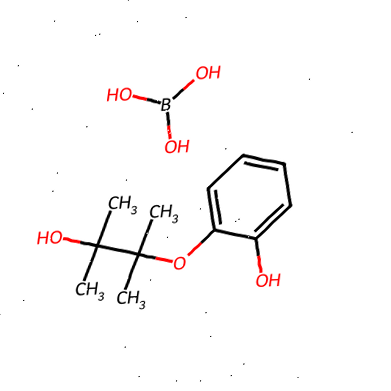 CC(C)(O)C(C)(C)Oc1ccccc1O.OB(O)O